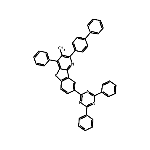 Cc1c(-c2ccc(-c3ccccc3)cc2)nc2c(sc3ccc(-c4nc(-c5ccccc5)nc(-c5ccccc5)n4)cc32)c1-c1ccccc1